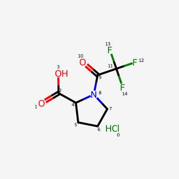 Cl.O=C(O)C1CCCN1C(=O)C(F)(F)F